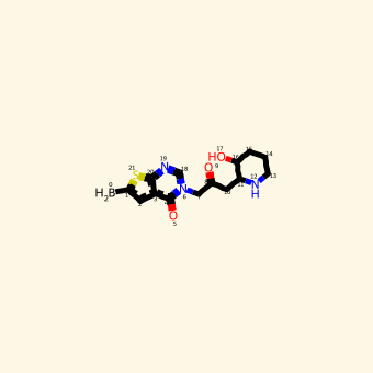 Bc1cc2c(=O)n(CC(=O)CC3NCCCC3O)cnc2s1